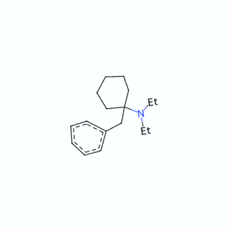 CCN(CC)C1(Cc2ccccc2)CCCCC1